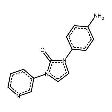 Nc1ccc(-n2ccn(-c3cccnc3)c2=O)cc1